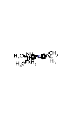 CCCC(N)N(c1ccc(/C=C/c2ccc(N(CC)CC)cc2)cc1)C(N)CCC